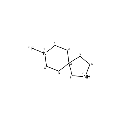 FN1CCC2(CCNC2)CC1